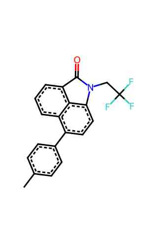 Cc1ccc(-c2ccc3c4c(cccc24)C(=O)N3CC(F)(F)F)cc1